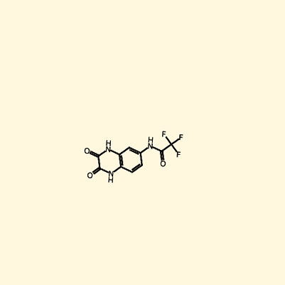 O=C(Nc1ccc2[nH]c(=O)c(=O)[nH]c2c1)C(F)(F)F